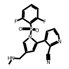 CNCc1cc(-c2cccnc2C#N)n(S(=O)(=O)c2c(F)cccc2F)c1